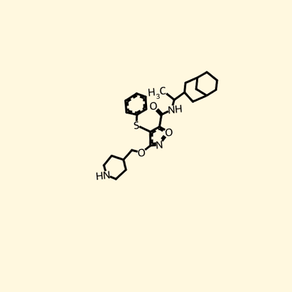 CC(NC(=O)c1onc(OCC2CCNCC2)c1Sc1ccccc1)C1CC2CCCC(C2)C1